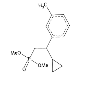 COP(=O)(CC(c1cccc(C)c1)C1CC1)OC